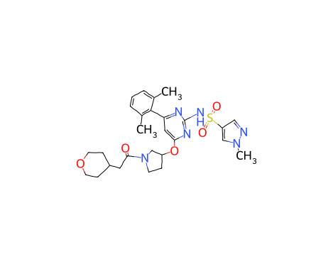 Cc1cccc(C)c1-c1cc(OC2CCN(C(=O)CC3CCOCC3)C2)nc(NS(=O)(=O)c2cnn(C)c2)n1